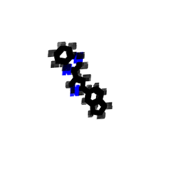 C1=NC(c2ccc3c(c2)CCC3)C=C1c1cnc2ccccc2n1